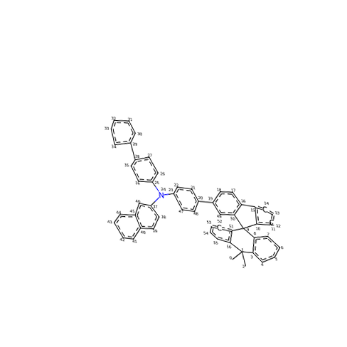 CC1(C)c2ccccc2C2(c3ccccc3-c3ccc(-c4ccc(N(c5ccc(-c6ccccc6)cc5)c5ccc6ccccc6c5)cc4)cc32)c2ccccc21